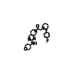 O=C(CN1CCCC[C@H]1c1ccc(F)cc1)N1CCc2cnc(NC3CCOCC3)nc2C1